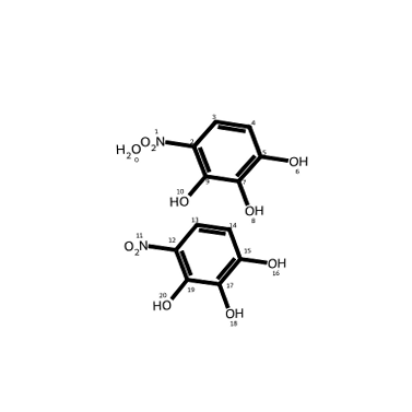 O.O=[N+]([O-])c1ccc(O)c(O)c1O.O=[N+]([O-])c1ccc(O)c(O)c1O